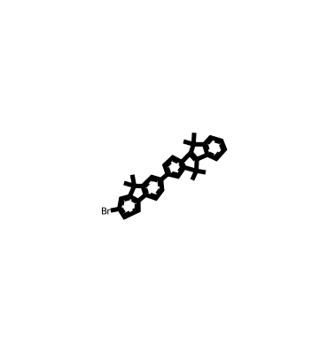 CC1(C)C2=C(c3ccccc31)C(C)(C)c1cc(-c3ccc4c(c3)C(C)(C)c3cc(Br)ccc3-4)ccc12